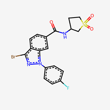 O=C(NC1CCS(=O)(=O)C1)c1ccc2c(Br)nn(-c3ccc(F)cc3)c2c1